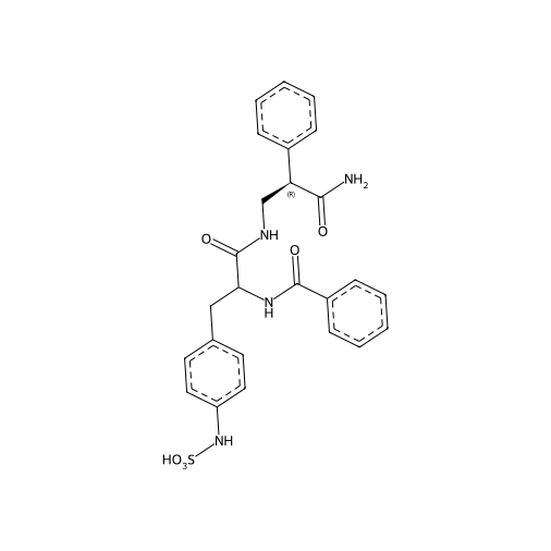 NC(=O)[C@@H](CNC(=O)C(Cc1ccc(NS(=O)(=O)O)cc1)NC(=O)c1ccccc1)c1ccccc1